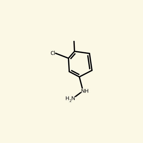 Cc1ccc(NN)cc1Cl